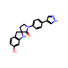 O=C1N(c2ccc(-c3cn[nH]c3)cc2)CCC12Cc1ccc(O)cc1N2